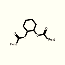 CCCC(C)C(=O)OC1CCCCC1OC(=O)C(C)CCC